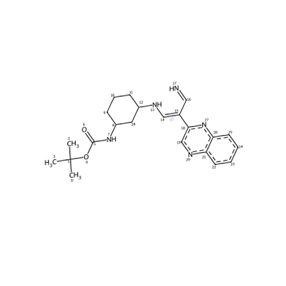 CC(C)(C)OC(=O)NC1CCCC(N/C=C(\C=N)c2cnc3ccccc3n2)C1